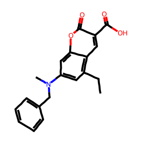 CCc1cc(N(C)Cc2ccccc2)cc2oc(=O)c(C(=O)O)cc12